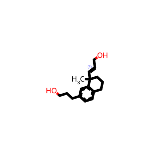 CC1(/C=C/CO)CCCc2ccc(CCCO)cc21